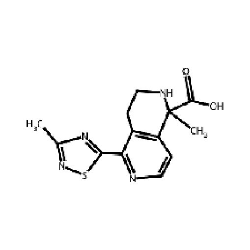 Cc1nsc(-c2nccc3c2CCNC3(C)C(=O)O)n1